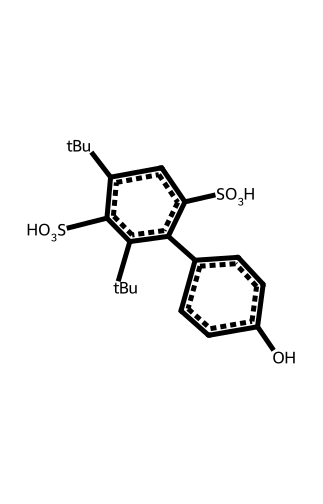 CC(C)(C)c1cc(S(=O)(=O)O)c(-c2ccc(O)cc2)c(C(C)(C)C)c1S(=O)(=O)O